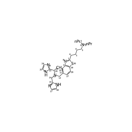 CCCN(CCC)CCCCc1nc2cc(CN(Cc3ncc[nH]3)C(C)c3ncc[nH]3)ccc2s1